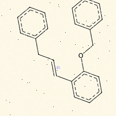 C(=C\c1ccccc1OCc1ccccc1)/Cc1ccccc1